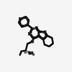 CC[C@@H](N)COc1nc(-c2ccncc2)nc2sc3c(c12)CCCC3